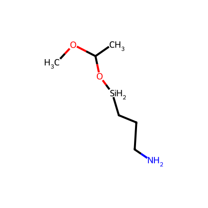 COC(C)O[SiH2]CCCN